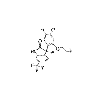 O=C1Nc2cc(C(F)(F)F)ccc2C1(F)c1cc(Cl)c(Cl)cc1OCCF